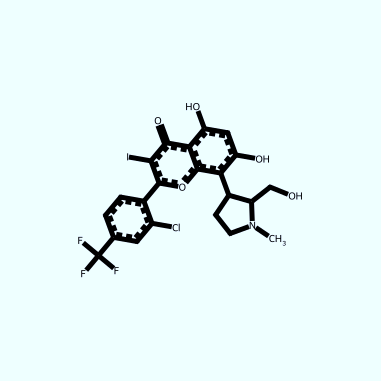 CN1CCC(c2c(O)cc(O)c3c(=O)c(I)c(-c4ccc(C(F)(F)F)cc4Cl)oc23)C1CO